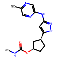 CC(C)NC(=O)O[C@@H]1CC[C@H](c2cc(Nc3cnc(C#N)cn3)n[nH]2)C1